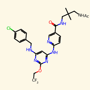 CC(=O)NCC(C)(C)CNC(=O)c1ccc(Nc2cc(NCc3ccc(Cl)cc3)nc(OCC(F)(F)F)n2)nc1